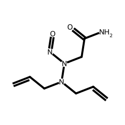 C=CCN(CC=C)N(CC(N)=O)N=O